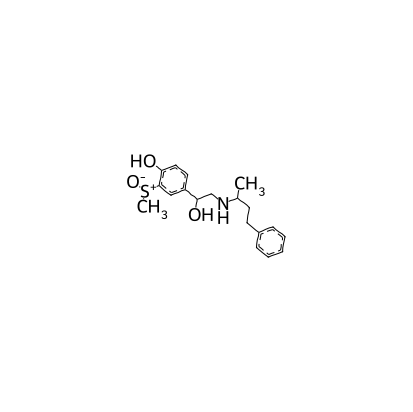 CC(CCc1ccccc1)NCC(O)c1ccc(O)c([S+](C)[O-])c1